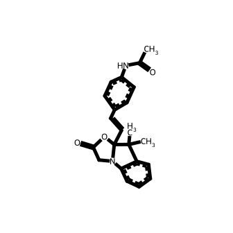 CC(=O)Nc1ccc(C=CC23OC(=O)CN2c2ccccc2C3(C)C)cc1